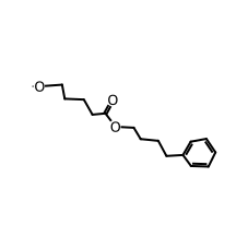 [O]CCCCC(=O)OCCCCc1ccccc1